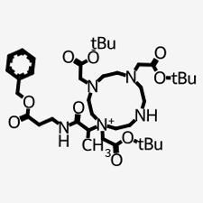 CC(C(=O)NCCC(=O)OCc1ccccc1)[N+]1(CC(=O)OC(C)(C)C)CCNCCN(CC(=O)OC(C)(C)C)CCN(CC(=O)OC(C)(C)C)CC1